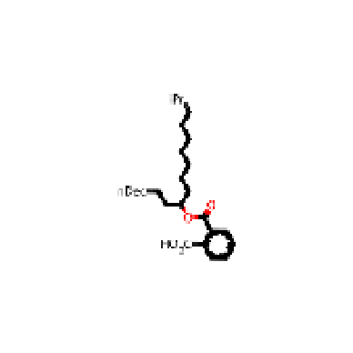 CCCCCCCCCCCCC(CCCCCCCC(C)C)OC(=O)c1ccccc1C(=O)O